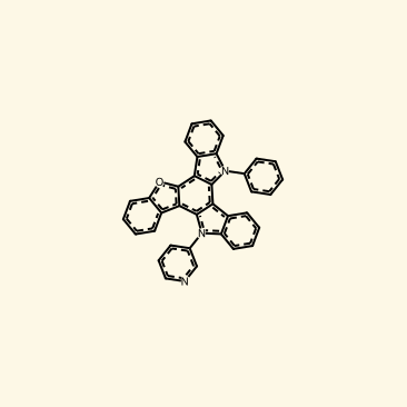 c1ccc(-n2c3ccccc3c3c4oc5ccccc5c4c4c(c5ccccc5n4-c4cccnc4)c32)cc1